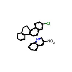 Clc1ccc2c3c(ccc2c1)C1=C(CCC=C1)CC3.O=[N+]([O-])c1cnc2ccccc2c1